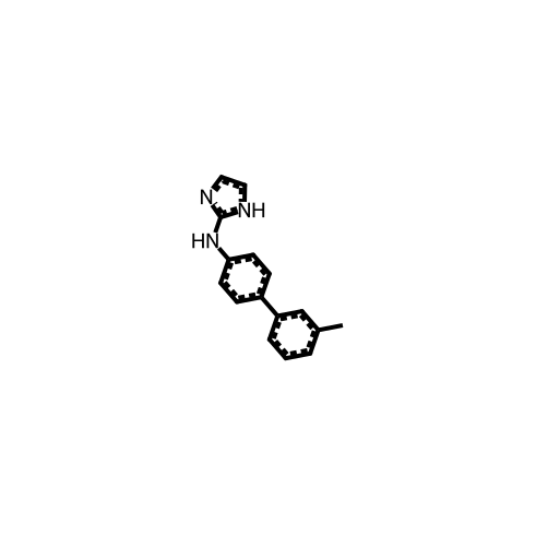 Cc1cccc(-c2ccc(Nc3ncc[nH]3)cc2)c1